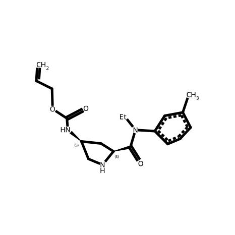 C=CCOC(=O)N[C@@H]1CN[C@H](C(=O)N(CC)c2cccc(C)c2)C1